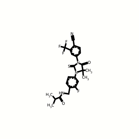 CC(C)C(=O)NCc1ccc(N2C(=S)N(c3ccc(C#N)c(C(F)(F)F)c3)C(=O)C2(C)C)cc1F